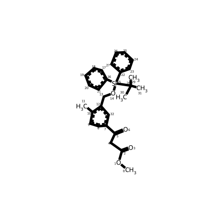 COC(=O)CC(=O)c1ccc(C)c(CO[Si](c2ccccc2)(c2ccccc2)C(C)(C)C)c1